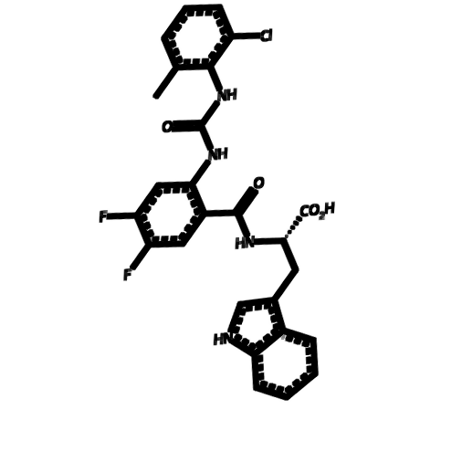 Cc1cccc(Cl)c1NC(=O)Nc1cc(F)c(F)cc1C(=O)N[C@@H](Cc1c[nH]c2ccccc12)C(=O)O